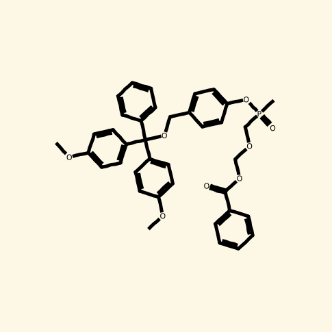 COc1ccc(C(OCc2ccc(OP(C)(=O)COCOC(=O)c3ccccc3)cc2)(c2ccccc2)c2ccc(OC)cc2)cc1